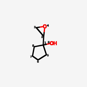 OC1(C2CO2)CCCC1